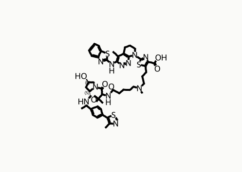 Cc1ncsc1-c1ccc(C(C)NC(=O)[C@@H]2C[C@@H](O)CN2C(=O)C(NC(=O)CCCCN(C)CCCc2sc(N3CCCc4c3nnc(Nc3nc5ccccc5s3)c4C)nc2C(=O)O)C(C)(C)C)cc1